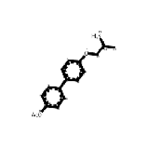 CC(=O)Oc1ccc(-c2ccc(OCC(C)N)cc2)cc1